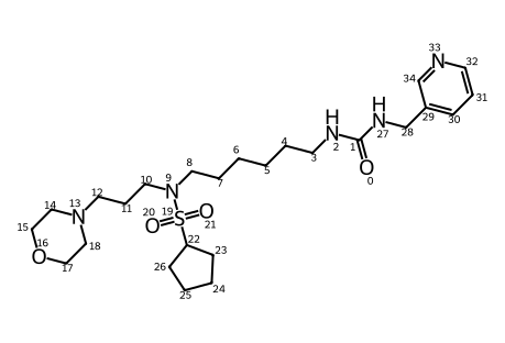 O=C(NCCCCCCN(CCCN1CCOCC1)S(=O)(=O)C1CCCC1)NCc1cccnc1